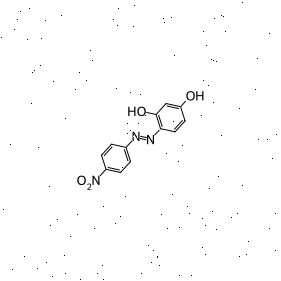 O=[N+]([O-])c1ccc(/N=N/c2ccc(O)cc2O)cc1